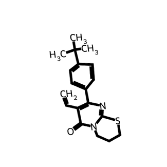 C=Cc1c(-c2ccc(C(C)(C)C)cc2)nc2n(c1=O)CCCS2